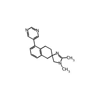 CC1=NC2(CCc3c(cccc3-c3cncnc3)C2)CN1C